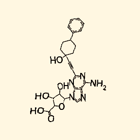 Nc1nc(C#CC2(O)CCC(c3ccccc3)CC2)nc2c1ncn2C1OC(C(=O)O)C(O)C1O